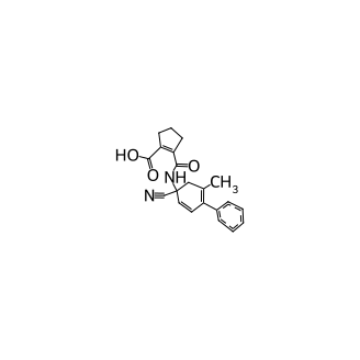 CC1=C(c2ccccc2)C=CC(C#N)(NC(=O)C2=C(C(=O)O)CCC2)C1